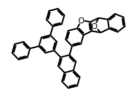 c1ccc(-c2cc(-c3ccccc3)cc(-c3cc4ccccc4cc3-c3ccc4oc5c(c4c3)C3OC5c4ccccc43)c2)cc1